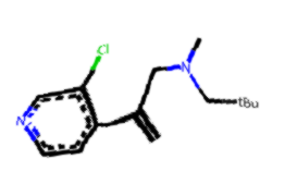 C=C(CN(C)CC(C)(C)C)c1ccncc1Cl